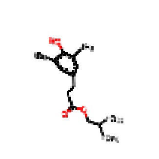 CCCCCCCCCCC(CCCCCCCC)COC(=O)CCc1cc(C(C)(C)C)c(O)c(C(C)(C)C)c1